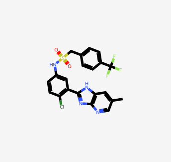 Cc1cnc2nc(-c3cc(NS(=O)(=O)Cc4ccc(C(F)(F)F)cc4)ccc3Cl)[nH]c2c1